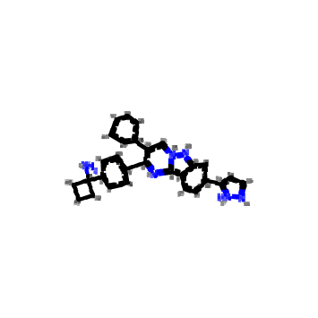 NC1(c2ccc(-c3nc4c5ccc(-c6ccn[nH]6)cc5nn4cc3-c3ccccc3)cc2)CCC1